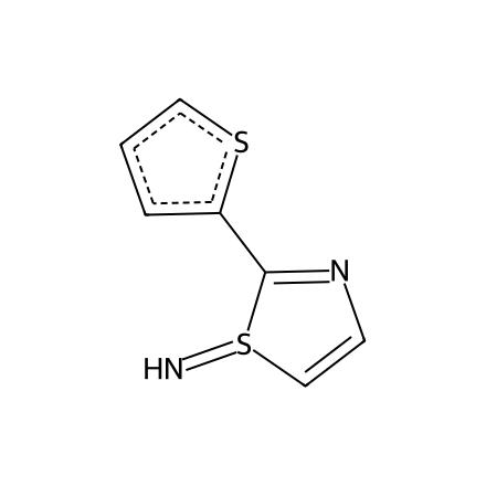 N=S1C=CN=C1c1cccs1